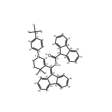 CC1(C)CCN(c2ccc(C(C)(C)C)cc2)C=C1C(OC(=O)C1c2ccccc2-c2ccccc21)=C1c2ccccc2-c2ccccc21